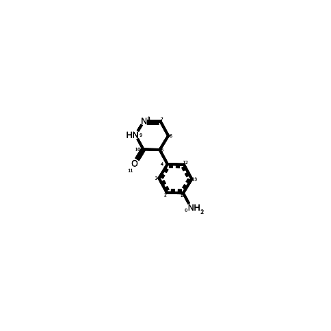 Nc1ccc(C2CC=NNC2=O)cc1